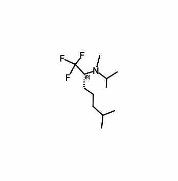 CC(C)CCC[C@@H](N(C)C(C)C)C(F)(F)F